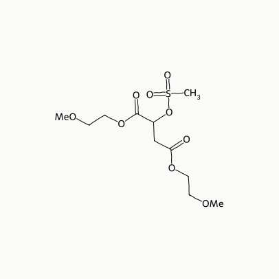 COCCOC(=O)CC(OS(C)(=O)=O)C(=O)OCCOC